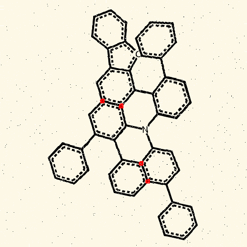 c1ccc(-c2ccc(N(c3cccc(-c4ccccc4)c3-c3ccccc3)c3cccc(-c4ccccc4)c3-c3cccc4c3oc3ccccc34)cc2)cc1